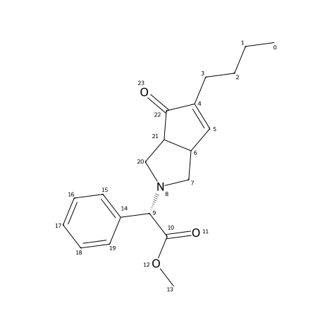 CCCCC1=CC2CN([C@H](C(=O)OC)c3ccccc3)CC2C1=O